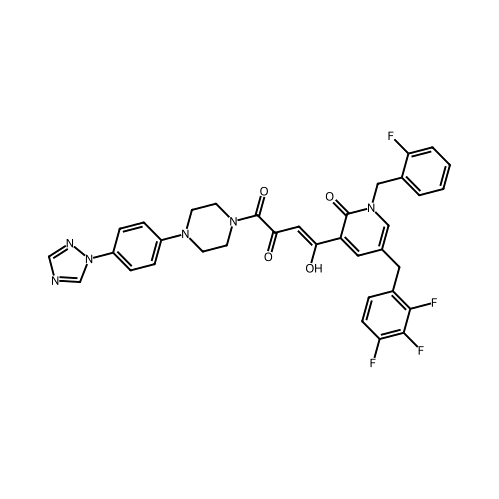 O=C(C=C(O)c1cc(Cc2ccc(F)c(F)c2F)cn(Cc2ccccc2F)c1=O)C(=O)N1CCN(c2ccc(-n3cncn3)cc2)CC1